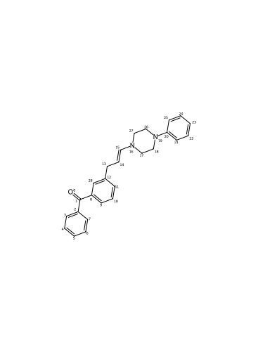 O=C(c1ccccc1)c1cccc(CC=CN2CCN(c3ccccc3)CC2)c1